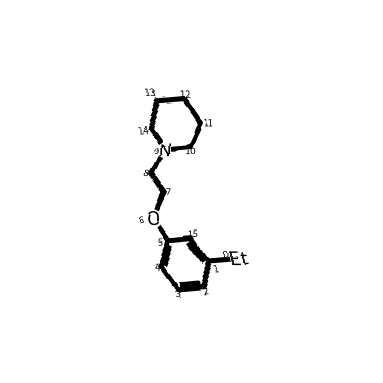 CCc1cccc(OCCN2CCCCC2)c1